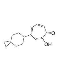 O=c1cccc(C2CCC3(CC2)CC3)cc1O